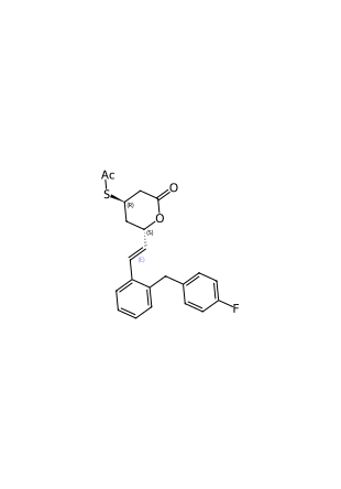 CC(=O)S[C@H]1CC(=O)O[C@H](/C=C/c2ccccc2Cc2ccc(F)cc2)C1